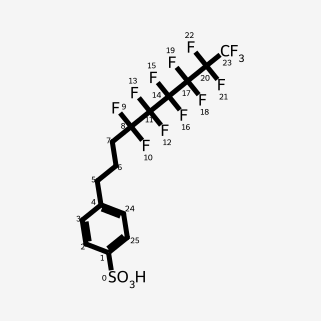 O=S(=O)(O)c1ccc(CCCC(F)(F)C(F)(F)C(F)(F)C(F)(F)C(F)(F)C(F)(F)F)cc1